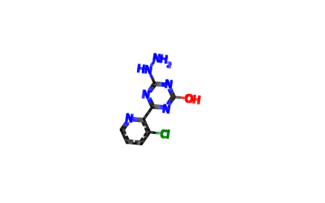 NNc1nc(O)nc(-c2ncccc2Cl)n1